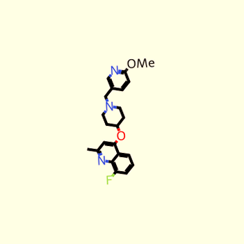 COc1ccc(CN2CCC(Oc3cc(C)nc4c(F)cccc34)CC2)cn1